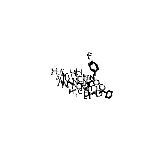 CCC(OC(=O)c1ccccc1)Oc1c(C(=O)NCc2ccc(F)cc2)nc(C(C)(C)NC(=O)c2nnc(C)o2)n(C)c1=O